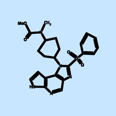 COC(=O)N(C)C1CCC(n2c(S(=O)(=O)c3ccccc3)nc3cnc4[nH]ccc4c32)CC1